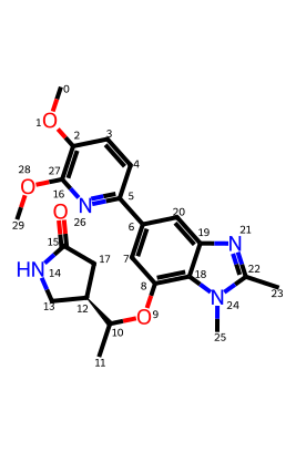 COc1ccc(-c2cc(OC(C)[C@H]3CNC(=O)C3)c3c(c2)nc(C)n3C)nc1OC